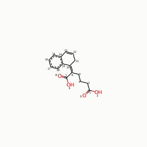 O=C(O)CCC/C(C(=O)O)=C1\CC=Cc2ccccc21